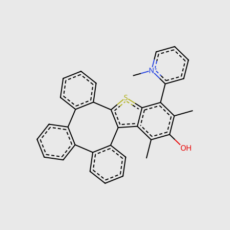 Cc1c(O)c(C)c2c3c(sc2c1-c1cccc[n+]1C)-c1ccccc1-c1ccccc1-c1ccccc1-3